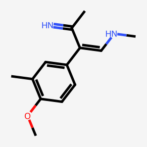 CN/C=C(\C(C)=N)c1ccc(OC)c(C)c1